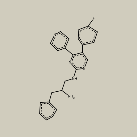 NC(CNc1ncc(-c2ccc(F)cc2)c(-c2ccncc2)n1)Cc1ccccc1